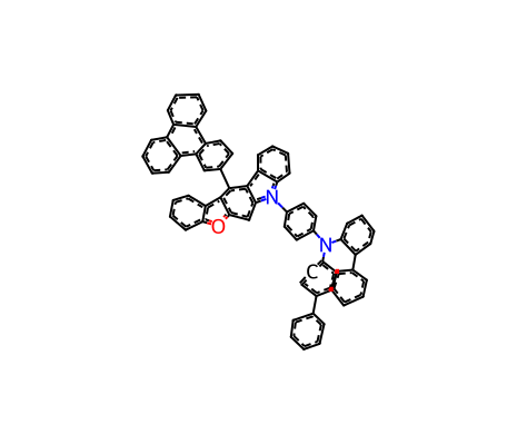 c1ccc(-c2ccc(N(c3ccc(-n4c5ccccc5c5c(-c6ccc7c8ccccc8c8ccccc8c7c6)c6c(cc54)oc4ccccc46)cc3)c3ccccc3-c3ccccc3)cc2)cc1